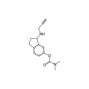 C#CCNC1CCc2ccc(OC(=O)N(C)C)cc21